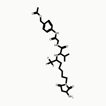 CC(=O)OCc1ccc(NC(=O)CNC(=O)C(NC(CCCCCN2C(=O)CC(N)C2=O)C(F)(F)F)C(C)C)cc1